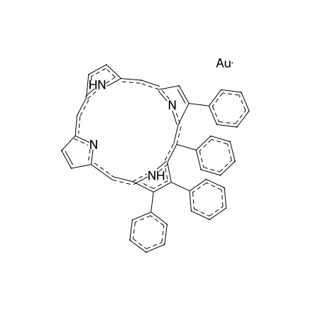 C1=Cc2cc3[nH]c(c(-c4ccccc4)c4nc(cc5ccc(cc1n2)[nH]5)C=C4c1ccccc1)c(-c1ccccc1)c3-c1ccccc1.[Au]